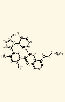 CNCCOc1ccccc1CN(C)C(=O)c1cc(-c2nnc(O)n2C2C=CC=CC2F)c(O)cc1O